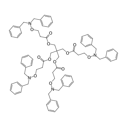 O=C(CCON(Cc1ccccc1)Cc1ccccc1)OCC(COC(=O)CCON(Cc1ccccc1)Cc1ccccc1)(COC(=O)CCON(Cc1ccccc1)Cc1ccccc1)COC(=O)CCON(Cc1ccccc1)Cc1ccccc1